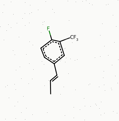 CC=Cc1ccc(F)c(C(F)(F)F)c1